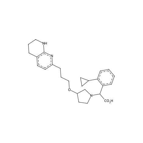 O=C(O)C(c1ccccc1C1CC1)N1CCC(OCCCc2ccc3c(n2)NCCC3)C1